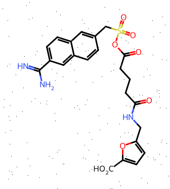 N=C(N)c1ccc2cc(CS(=O)(=O)OC(=O)CCCC(=O)NCc3ccc(C(=O)O)o3)ccc2c1